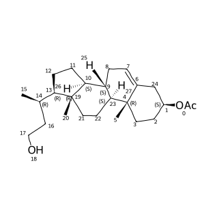 CC(=O)O[C@H]1CC[C@@]2(C)C(=CC[C@H]3[C@@H]4CC[C@H]([C@H](C)CCO)[C@@]4(C)CC[C@@H]32)C1